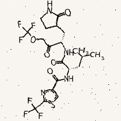 CC(C)C[C@H](NC(=O)c1csc(C(F)(F)F)n1)C(=O)N[C@@H](CC1CCNC1=O)C(=O)COC(F)(F)F